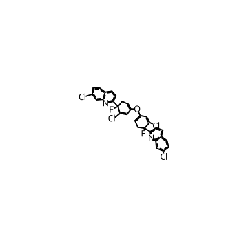 FC1(c2ccc3ccc(Cl)cc3n2)CC=C(OC2=CCC(F)(c3ccc4ccc(Cl)cc4n3)C(Cl)=C2)C=C1Cl